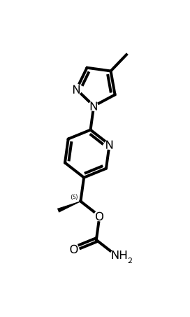 Cc1cnn(-c2ccc([C@H](C)OC(N)=O)cn2)c1